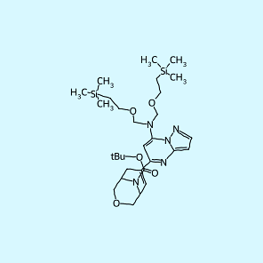 CC(C)(C)OC(=O)N1C2C=C(c3cc(N(COCC[Si](C)(C)C)COCC[Si](C)(C)C)n4nccc4n3)CC1COC2